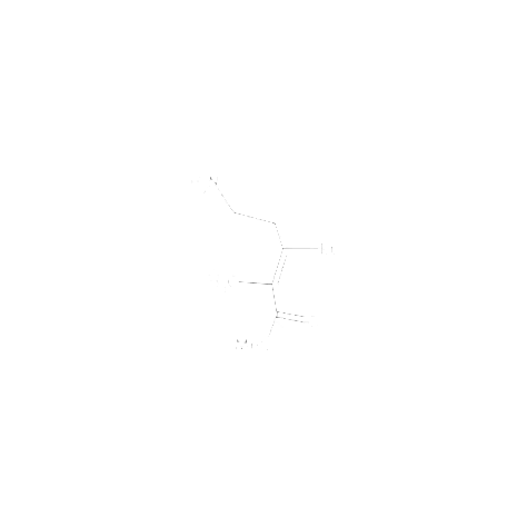 CCC(CCN)=C(C)C(=O)OC